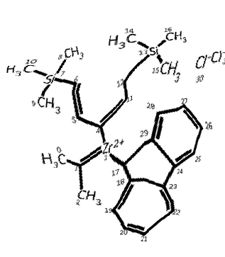 C[C](C)=[Zr+2]([C](C=C[Si](C)(C)C)=CC[Si](C)(C)C)[CH]1c2ccccc2-c2ccccc21.[Cl-].[Cl-]